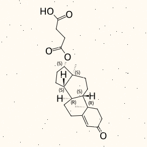 C[C@]12CC[C@H]3[C@@H](CCC4=CC(=O)CC[C@@]43C)[C@@H]1CC[C@@H]2OC(=O)CCC(=O)O